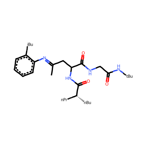 CCCC[C@H](CCC)C(=O)NC(C/C(C)=N/c1ccccc1C(C)CC)C(=O)NCC(=O)NC(C)(C)C